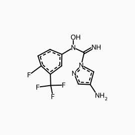 N=C(N(O)c1ccc(F)c(C(F)(F)F)c1)n1cc(N)cn1